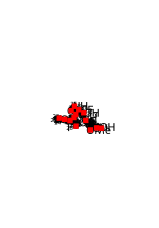 COc1cc(C(=O)NCC(O)(c2cc3c(c(-c4cn(COCC[Si](C)(C)C)c5c(F)cccc45)n2)OCC3(C)N)C(F)(F)F)ccc1OCCO